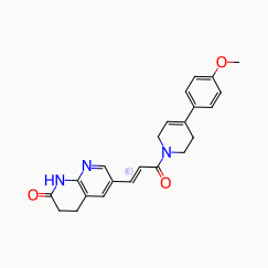 COc1ccc(C2=CCN(C(=O)/C=C/c3cnc4c(c3)CCC(=O)N4)CC2)cc1